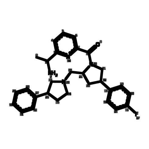 CC(N)c1cccc(C(=O)N2CC(c3ccc(F)cc3)CC2CN2CCC(c3ccccc3)C2)n1